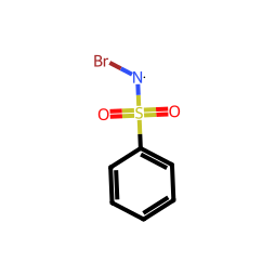 O=S(=O)([N]Br)c1ccccc1